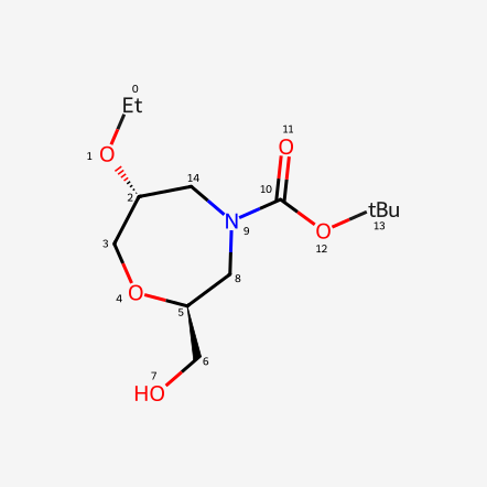 CCO[C@H]1CO[C@H](CO)CN(C(=O)OC(C)(C)C)C1